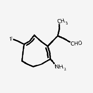 CC(C=O)C1=C(N)CCC(F)=C1